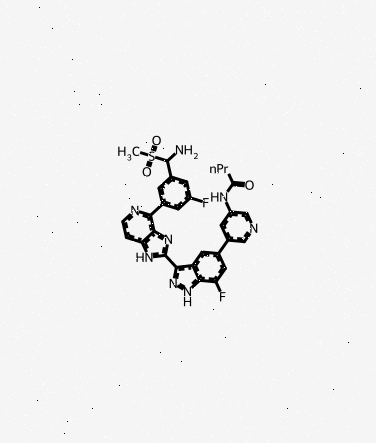 CCCC(=O)Nc1cncc(-c2cc(F)c3[nH]nc(-c4nc5c(-c6cc(F)cc(C(N)S(C)(=O)=O)c6)nccc5[nH]4)c3c2)c1